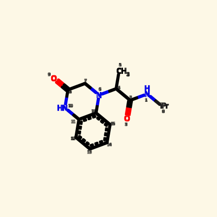 CC(C)NC(=O)C(C)N1CC(=O)Nc2ccccc21